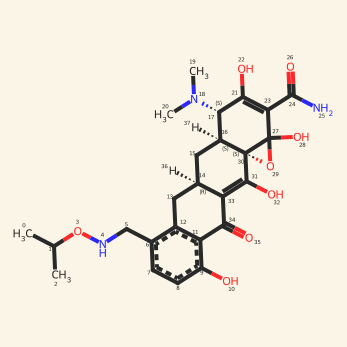 CC(C)ONCc1ccc(O)c2c1C[C@H]1C[C@H]3[C@H](N(C)C)C(O)=C(C(N)=O)C4(O)O[C@]34C(O)=C1C2=O